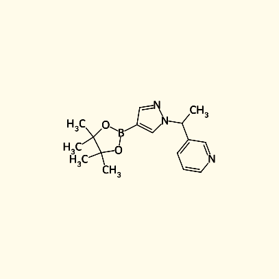 CC(c1cccnc1)n1cc(B2OC(C)(C)C(C)(C)O2)cn1